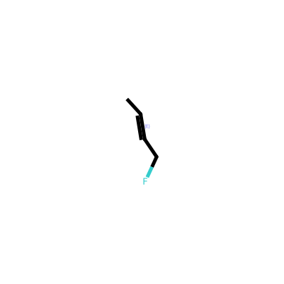 C/C=C/CF